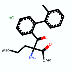 COC(=O)C(N)(CCSC)C(=O)c1ccccc1-c1ccccc1C.Cl